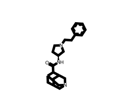 O=C(N[C@H]1CCN(CCc2ccccc2)C1)C1C2CC3CC1CN(C3)C2